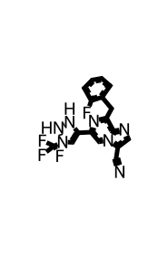 N#Cc1cnc2c(Cc3ccccc3F)nc(C3=CN(C(F)(F)F)NN3)cn12